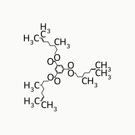 CC(C)=CCCC(C)CCOC(=O)c1cc(C(=O)OCCC(C)CCC=C(C)C)cc(C(=O)OCCC(C)CCC=C(C)C)c1